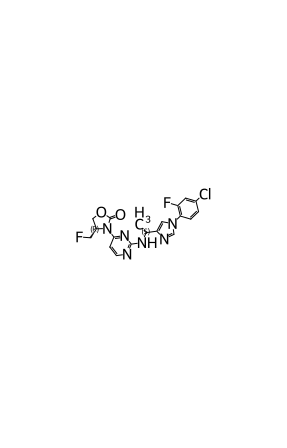 C[C@H](Nc1nccc(N2C(=O)OC[C@@H]2CF)n1)c1cn(-c2ccc(Cl)cc2F)cn1